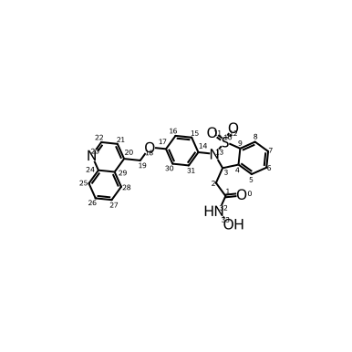 O=C(CC1c2ccccc2S(=O)(=O)N1c1ccc(OCc2ccnc3ccccc23)cc1)NO